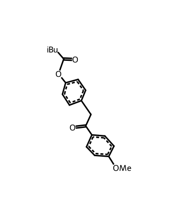 CCC(C)C(=O)Oc1ccc(CC(=O)c2ccc(OC)cc2)cc1